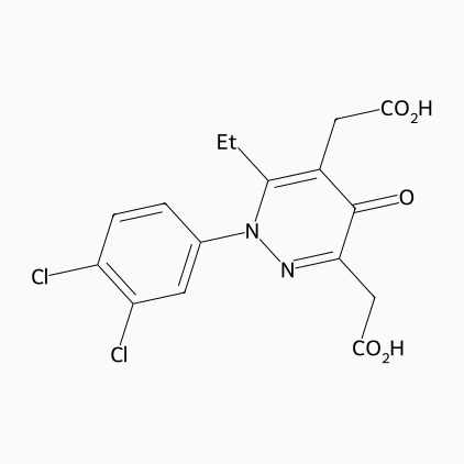 CCc1c(CC(=O)O)c(=O)c(CC(=O)O)nn1-c1ccc(Cl)c(Cl)c1